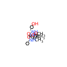 CC[C@H](C)[C@H](NCc1ccccc1)C(=O)NC(=O)[C@H](Cc1ccc(O)cc1)NC(=O)OC(C)(C)C